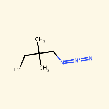 CC(C)CC(C)(C)CN=[N+]=[N-]